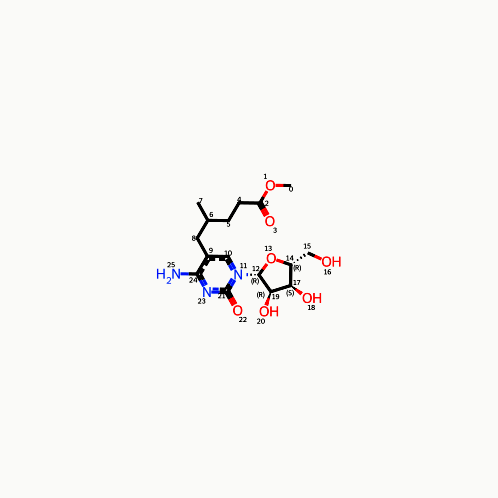 COC(=O)CCC(C)Cc1cn([C@@H]2O[C@H](CO)[C@@H](O)[C@H]2O)c(=O)nc1N